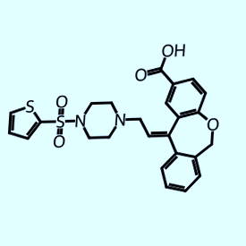 O=C(O)c1ccc2c(c1)C(=CCN1CCN(S(=O)(=O)c3cccs3)CC1)c1ccccc1CO2